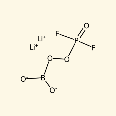 O=P(F)(F)OOB([O-])[O-].[Li+].[Li+]